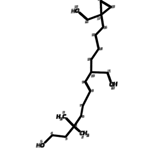 CC(C)(CCO)CCCCC(CO)CCCCC1(CO)CC1